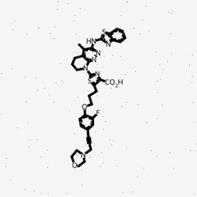 Cc1c(Nc2nc3ccccc3s2)nnc2c1CCCN2c1nc(C(=O)O)c(CCCOc2ccc(C#CCN3CCOCC3)cc2F)s1